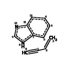 C#CC=C.c1ccc2[nH]cnc2c1